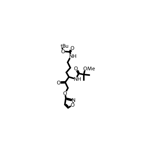 COC(C)(C)C(=O)NC(CCCNC(=O)OC(C)(C)C)C(=O)COc1ccon1